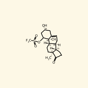 C[C@]12CC[C@H]3[C@@H](CC=C4C[C@@H](O)CC(OS(=O)(=O)C(F)(F)F)[C@@]43C)[C@@H]1CCC2=O